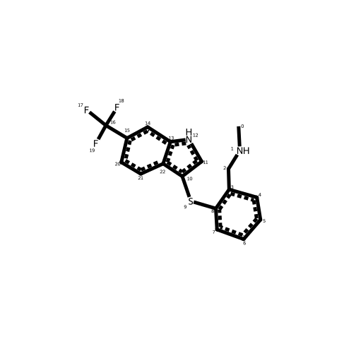 CNCc1ccccc1Sc1c[nH]c2cc(C(F)(F)F)ccc12